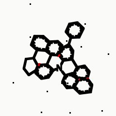 c1ccc(-c2ccc(N(c3ccc4ccccc4c3)c3ccccc3-c3cccc4cccc(C5CCCCC5)c34)c(-c3ccccc3)c2)cc1